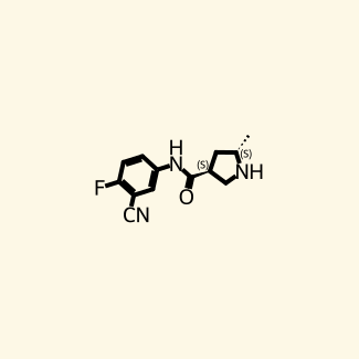 C[C@H]1C[C@H](C(=O)Nc2ccc(F)c(C#N)c2)CN1